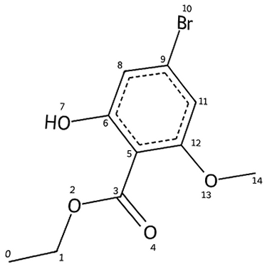 CCOC(=O)c1c(O)cc(Br)cc1OC